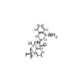 CN(C(=O)c1cccc(C(F)(F)F)c1)C(CCN)Cc1ccccc1